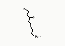 CCCCCCCCCCC(Br)CCBr